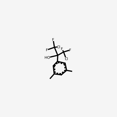 Cc1[c]c(C)cc(C(O)(C(F)(F)Cl)C(F)(F)Cl)c1